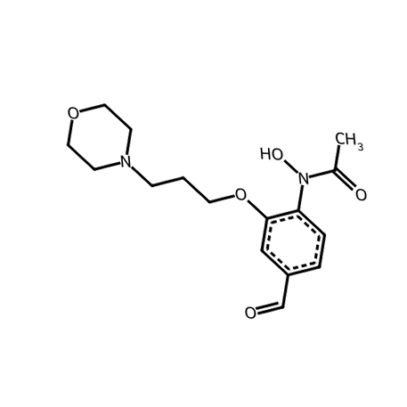 CC(=O)N(O)c1ccc(C=O)cc1OCCCN1CCOCC1